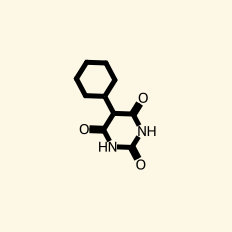 O=C1NC(=O)C(C2CCCCC2)C(=O)N1